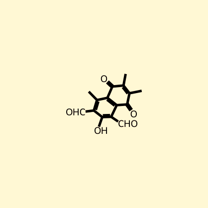 CC1=C(C)C(=O)c2c(C=O)c(O)c(C=O)c(C)c2C1=O